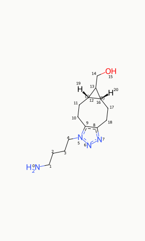 NCCCCn1nnc2c1CC[C@@H]1C(CO)[C@@H]1CC2